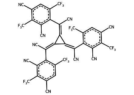 N#CC(=C1C(=C(C#N)c2c(C(F)(F)F)cc(C#N)c(C(F)(F)F)c2C#N)C1=C(C#N)c1c(C(F)(F)F)cc(C#N)c(C(F)(F)F)c1C#N)c1c(C(F)(F)F)cc(C#N)c(C(F)(F)F)c1C#N